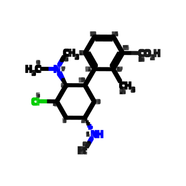 CCN[C@@H]1CC(Cl)[C@@H](N(C)C)C(c2cccc(C(=O)O)c2C)C1